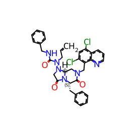 C=CCN(C(=O)NCc1ccccc1)N1CC(=O)N2[C@@H](Cc3ccccc3)C(=O)N(Cc3c(Cl)cc(Cl)c4cccnc34)C[C@@H]21